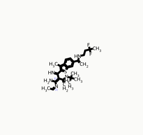 C=C(NC(C)(C)C)/C(C(=N)c1sc2cc(C(=C)NCCC(C)(F)F)ccc2c1C)=C(N)\N=C/C